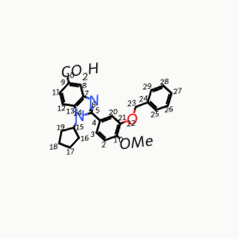 COc1ccc(-c2nc3cc(C(=O)O)ccc3n2C2CCCC2)cc1OCc1ccccc1